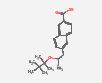 CC(Cc1ccc2cc(C(=O)O)ccc2c1)O[Si](C)(C)C(C)(C)C